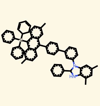 Cc1cc(C)c2c(c1)N(c1cccc(-c3ccc(-c4c5cc(C)ccc5c([Si](c5ccccc5)(c5ccccc5)C5C=CC=CC5)c5cc(C)ccc45)cc3)c1)C(c1ccccc1)N2